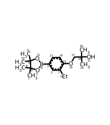 CCc1cc(B2OC(C)(C)C(C)(C)O2)ccc1OCC(C)(C)O